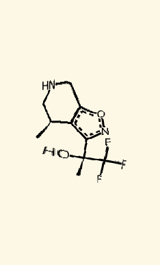 C[C@H]1CNCc2onc([C@@](C)(O)C(F)(F)F)c21